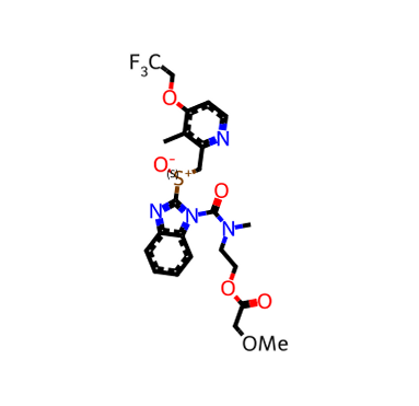 COCC(=O)OCCN(C)C(=O)n1c([S@+]([O-])Cc2nccc(OCC(F)(F)F)c2C)nc2ccccc21